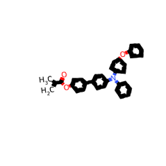 C=C(C)C(=O)Oc1ccc(-c2ccc(N(c3ccccc3)c3ccc(Oc4ccccc4)cc3)cc2)cc1